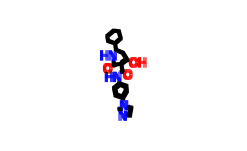 O=C(Nc1ccc(-n2ccnc2)cc1)C1=C(O)CC(C2CCCCC2)NC1=O